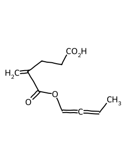 C=C(CCC(=O)O)C(=O)OC=C=CC